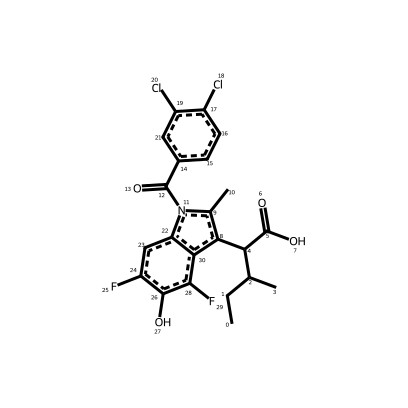 CCC(C)C(C(=O)O)c1c(C)n(C(=O)c2ccc(Cl)c(Cl)c2)c2cc(F)c(O)c(F)c12